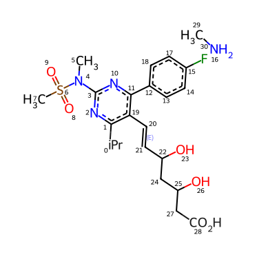 CC(C)c1nc(N(C)S(C)(=O)=O)nc(-c2ccc(F)cc2)c1/C=C/C(O)CC(O)CC(=O)O.CN